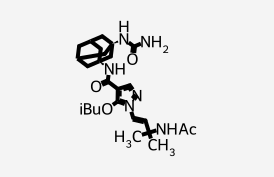 CC(=O)NC(C)(C)/C=C/n1ncc(C(=O)N[C@]23CC4CC(C[C@@](NC(N)=O)(C4)C2)C3)c1OCC(C)C